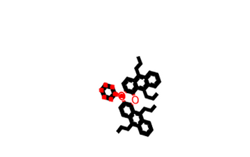 CCCc1c2ccccc2c(CCC)c2c(Oc3c(Oc4ccccc4)ccc4c(CCC)c5ccccc5c(CCC)c34)c(Oc3ccccc3)ccc12